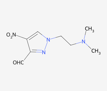 CN(C)CCn1cc([N+](=O)[O-])c(C=O)n1